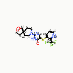 O=c1[nH]c(N2CCC3(CCOC3)CC2)ncc1Sc1cccnc1C(F)(F)F